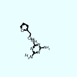 Nc1nc(N)nc(N)n1.OCc1ccco1